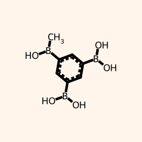 CB(O)c1cc(B(O)O)cc(B(O)O)c1